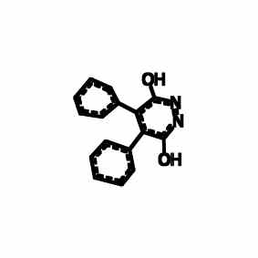 Oc1nnc(O)c(-c2ccccc2)c1-c1ccccc1